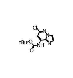 CC(C)(C)OC(=O)Nc1cc(Cl)nn2ccnc12